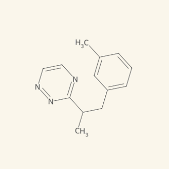 Cc1cccc(CC(C)c2nccnn2)c1